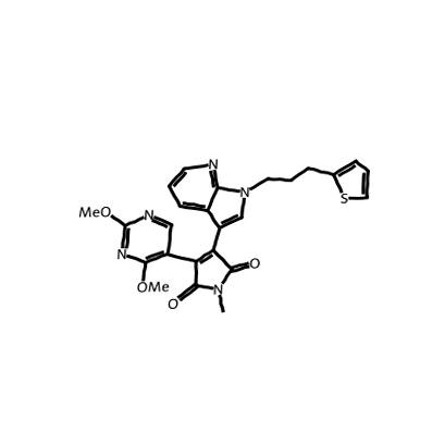 COc1ncc(C2=C(c3cn(CCCc4cccs4)c4ncccc34)C(=O)N(C)C2=O)c(OC)n1